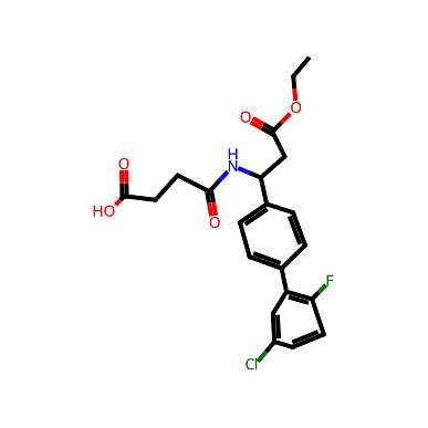 CCOC(=O)CC(NC(=O)CCC(=O)O)c1ccc(-c2cc(Cl)ccc2F)cc1